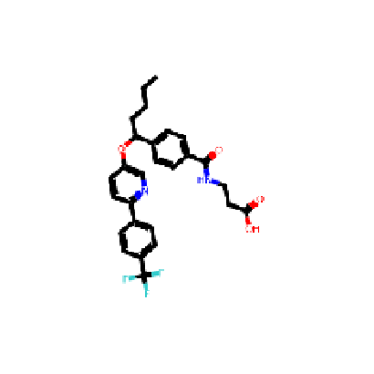 CCCCC(Oc1ccc(-c2ccc(C(F)(F)F)cc2)nc1)c1ccc(C(=O)NCCC(=O)O)cc1